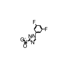 O=[N+]([O-])c1ncn(-c2cc(F)cc(F)c2)n1